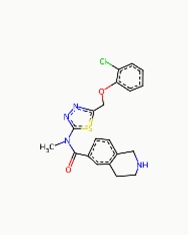 CN(C(=O)c1ccc2c(c1)CCNC2)c1nnc(COc2ccccc2Cl)s1